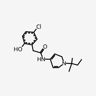 CCC(C)(C)N1C=CC(NC(=O)Cc2cc(Cl)ccc2O)=CC1